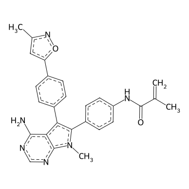 C=C(C)C(=O)Nc1ccc(-c2c(-c3ccc(-c4cc(C)no4)cc3)c3c(N)ncnc3n2C)cc1